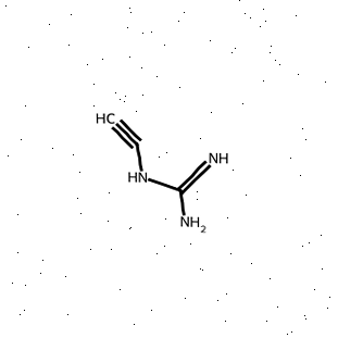 C#CNC(=N)N